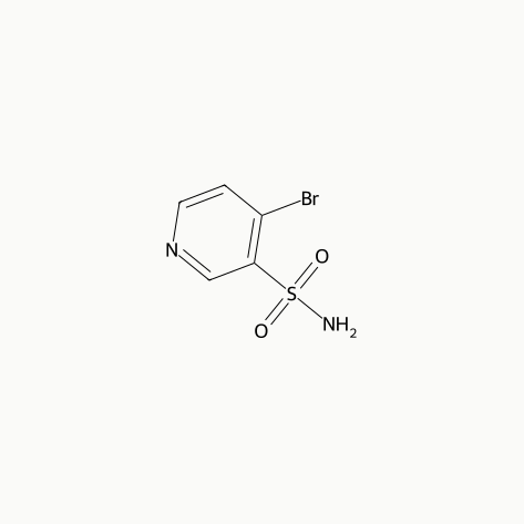 NS(=O)(=O)c1cnccc1Br